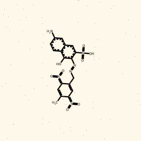 CC1=CC(=S(=O)=O)C(CN=Nc2c(S(=O)(=O)O)cc3cc(N)ccc3c2O)=CC1=S(=O)=O